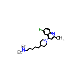 CCN(CC)CCCCCC1CCN(c2cc(C)nc3ccc(F)cc23)CC1